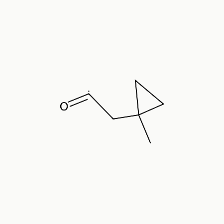 CC1(C[C]=O)CC1